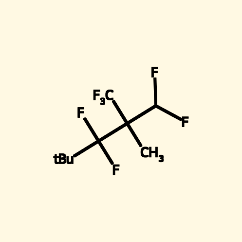 CC(C)(C)C(F)(F)C(C)(C(F)F)C(F)(F)F